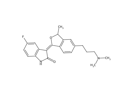 CC1OC(=C2C(=O)Nc3ccc(F)cc32)c2ccc(CCCN(C)C)cc21